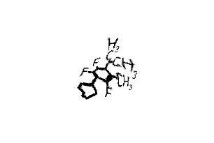 Cc1c(F)c(-c2ccccc2)c(F)c(F)c1C(C)C